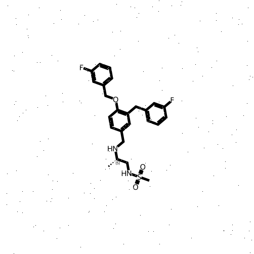 C[C@@H](CNS(C)(=O)=O)NCc1ccc(OCc2cccc(F)c2)c(Cc2cccc(F)c2)c1